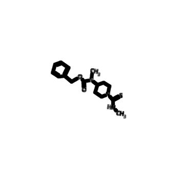 CNC(=S)N1CCC(N(C)C(=O)OCc2ccccc2)CC1